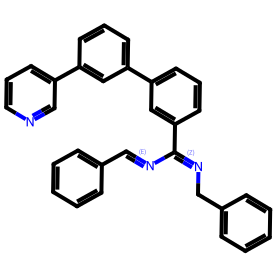 C(=N\C(=N/Cc1ccccc1)c1cccc(-c2cccc(-c3cccnc3)c2)c1)/c1ccccc1